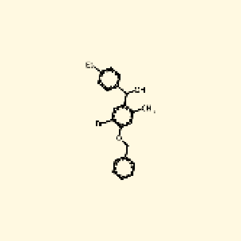 CCc1ccc(C(O)c2cc(Br)c(OCc3ccccc3)cc2C)cc1